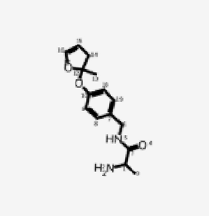 CC(N)C(=O)NCc1ccc(OC2(C)CC=CO2)cc1